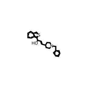 OC(/C=C/C1CCN(Cc2ccccc2)CC1)c1scc2ccccc12